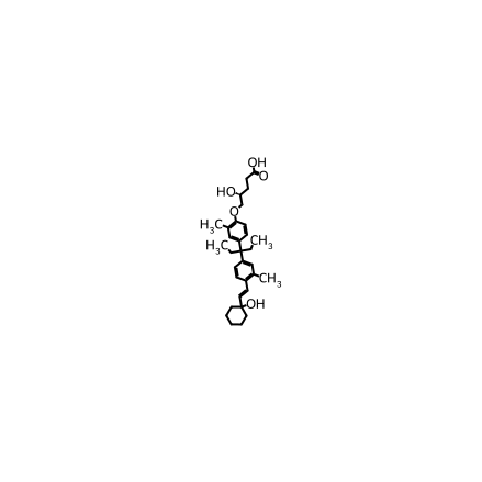 CCC(CC)(c1ccc(C=CC2(O)CCCCC2)c(C)c1)c1ccc(OC[C@@H](O)CCC(=O)O)c(C)c1